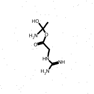 CC(N)(O)OC(=O)CNC(=N)N